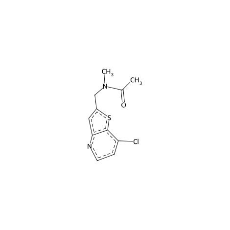 CC(=O)N(C)Cc1cc2nccc(Cl)c2s1